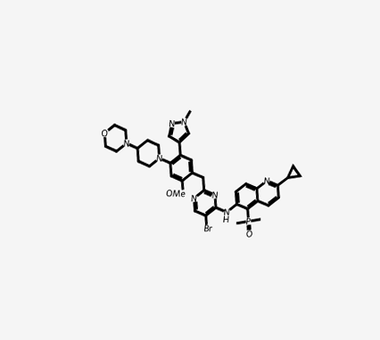 COc1cc(N2CCC(N3CCOCC3)CC2)c(-c2cnn(C)c2)cc1Cc1ncc(Br)c(Nc2ccc3nc(C4CC4)ccc3c2P(C)(C)=O)n1